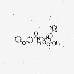 O=C(NCC(=O)N1CC(c2nccs2)CC1C(=O)O)c1ccc(Oc2ccccc2)cc1